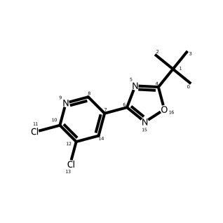 CC(C)(C)c1nc(-c2cnc(Cl)c(Cl)c2)no1